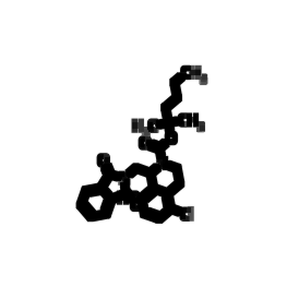 CCCCC(C)(C)OC(=O)N1CCc2c(Cl)ccc(O)c2C1CN1C(=O)c2ccccc2C1=O